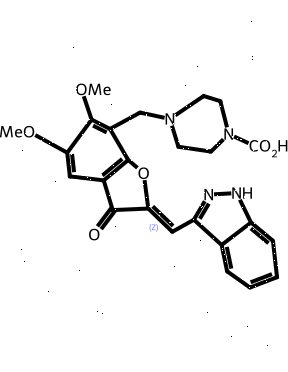 COc1cc2c(c(CN3CCN(C(=O)O)CC3)c1OC)O/C(=C\c1n[nH]c3ccccc13)C2=O